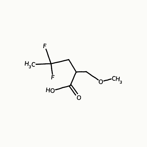 COCC(CC(C)(F)F)C(=O)O